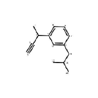 C#CC(C)c1cccc(CC(C)C)c1